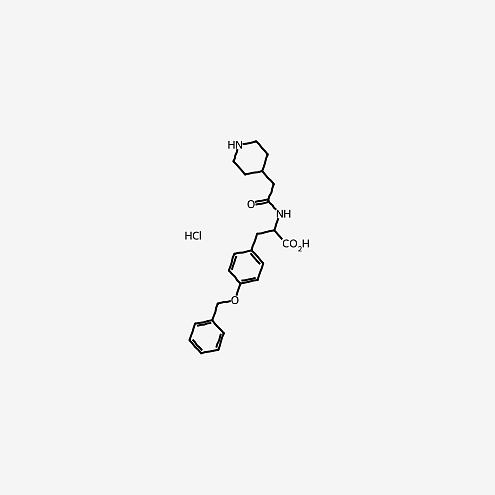 Cl.O=C(CC1CCNCC1)NC(Cc1ccc(OCc2ccccc2)cc1)C(=O)O